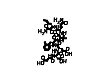 CCCC[C@H](NC(=O)[C@H](CCC(N)=O)NC(=O)[C@@H](NC(=O)[C@H](Cc1ccccc1C)NC(=O)[C@H](CCC(=O)O)NC(=O)[C@H](CC(=O)O)NC(=O)CCC(=O)O)C(C)(C)C)C(=O)C(N)=O